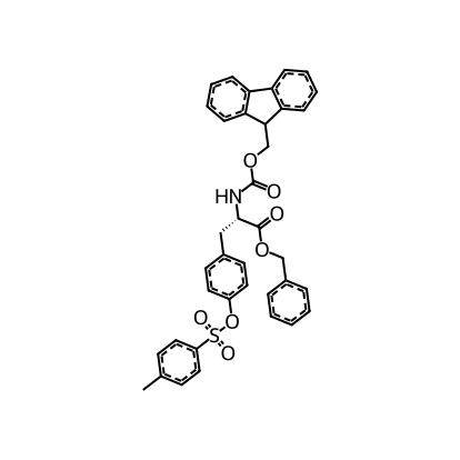 Cc1ccc(S(=O)(=O)Oc2ccc(C[C@H](NC(=O)OCC3c4ccccc4-c4ccccc43)C(=O)OCc3ccccc3)cc2)cc1